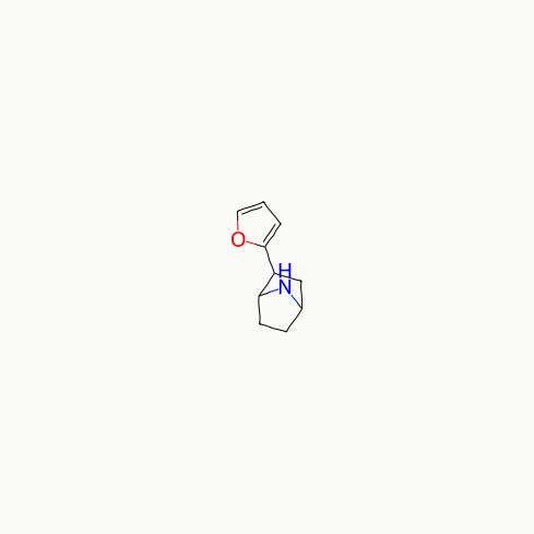 c1coc(C2CC3CCC2N3)c1